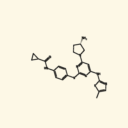 Cc1cnc(Nc2cc(N3CC[C@H](N)C3)nc(Sc3ccc(NC(=O)C4CC4)cc3)n2)s1